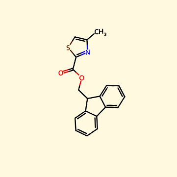 Cc1csc(C(=O)OCC2c3ccccc3-c3ccccc32)n1